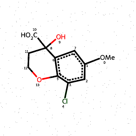 COc1cc(Cl)c2c(c1)C(O)(C(=O)O)CCO2